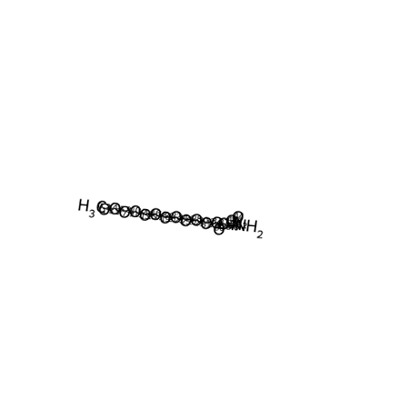 COCCOCCOCCOCCOCCOCCOCCOCCOCCOCCOCCOC(=O)OC[C@@H]1CN(N)C(=O)O1